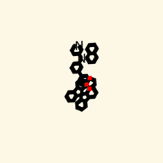 c1cncc(N(c2cccc(-c3ccc(-c4cccc5c4C4(c6ccccc6-5)c5ccccc5-c5ccc6ccccc6c54)cc3)c2)c2cccc3ccccc23)c1